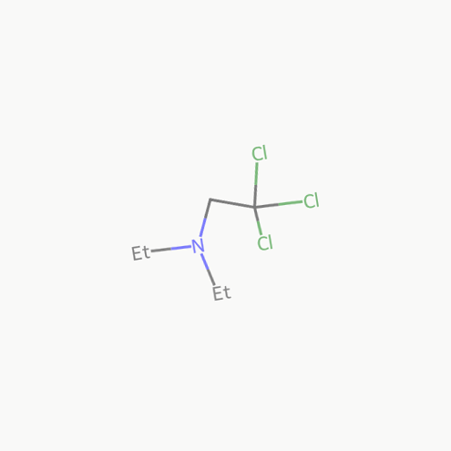 CCN(CC)CC(Cl)(Cl)Cl